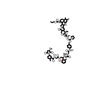 CCCCC(=O)N[C@H]1CCc2c(C)c(F)cc3nc4c(c1c23)Cn1c-4cc2c(c1=O)COC(=O)[C@@]2(CC)OC(=O)N(C)C[C@@H]1CCCN1C(=O)OCc1ccc(NC(=O)CNC(=O)[C@H](Cc2ccccc2)NC(=O)CNC(=O)CNC(=O)c2cc(N3C(=O)CC(SC)C3=O)ccc2C)cc1